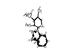 OC1COC(n2nnc3ccccc32)C(O)C1O